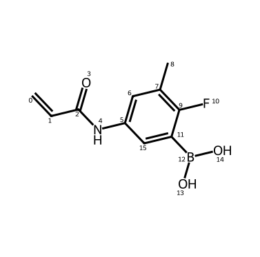 C=CC(=O)Nc1cc(C)c(F)c(B(O)O)c1